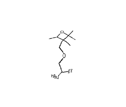 CCCCC(CC)COCC1(C)C(C)OC1(C)C